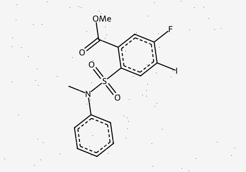 COC(=O)c1cc(F)c(I)cc1S(=O)(=O)N(C)c1ccccc1